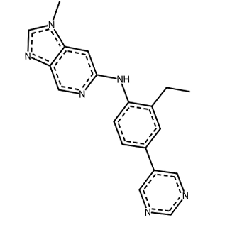 CCc1cc(-c2cncnc2)ccc1Nc1cc2c(cn1)ncn2C